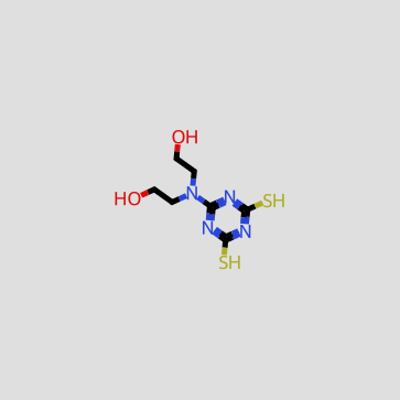 OCCN(CCO)c1nc(S)nc(S)n1